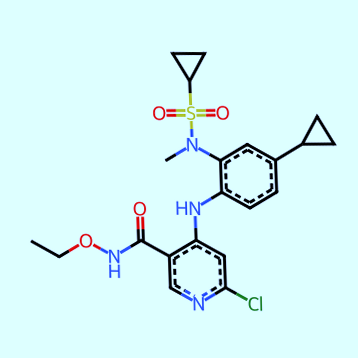 CCONC(=O)c1cnc(Cl)cc1Nc1ccc(C2CC2)cc1N(C)S(=O)(=O)C1CC1